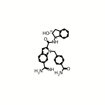 N=C(N)c1ccc2cc(C(=O)N[C@@H]3c4ccccc4C[C@H]3O)n(Cc3ccc(C(N)=O)cc3)c2c1